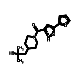 CC(C)(O)CC1CCN(C(=O)c2cc(-c3ccco3)n[nH]2)CC1